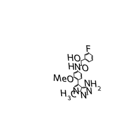 COc1cc(NC(=O)C(O)c2cccc(F)c2)ccc1-c1cn(C)c2ncnc(N)c12